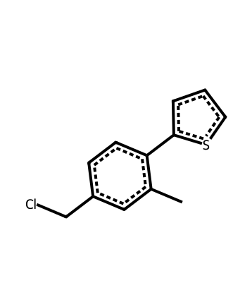 Cc1cc(CCl)ccc1-c1cccs1